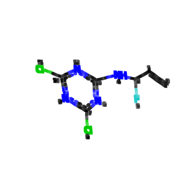 C=CC(F)Nc1nc(Cl)nc(Cl)n1